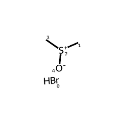 Br.C[S+](C)[O-]